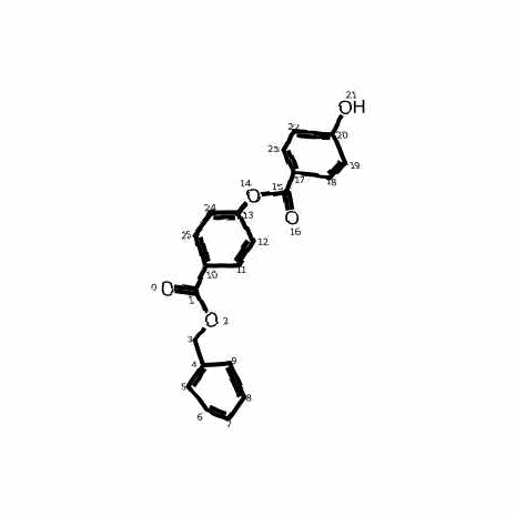 O=C(OCc1ccccc1)c1ccc(OC(=O)c2ccc(O)cc2)cc1